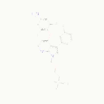 C[Si](C)(C)CCOCn1cc(-c2cccc(F)c2)c2c(Oc3c(F)cc(N)cc3F)ccnc21